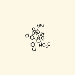 CC(C)[C@@H](CS(=O)(=O)C(=O)CC(C)(C)C)N1C(=O)[C@@](C)(CC(=O)O)C[C@H](c2cccc(Cl)c2)[C@H]1c1ccc(Cl)cc1